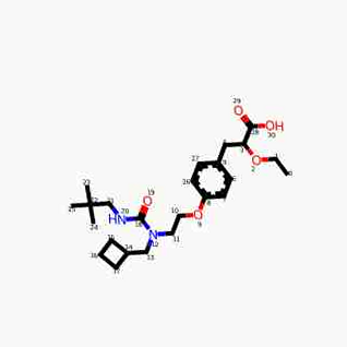 CCOC(Cc1ccc(OCCN(CC2CCC2)C(=O)NCC(C)(C)C)cc1)C(=O)O